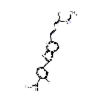 C\C=N/C(F)=C\C=C\c1ccc2cc(-c3ccc(NC)c(F)c3)sc2n1